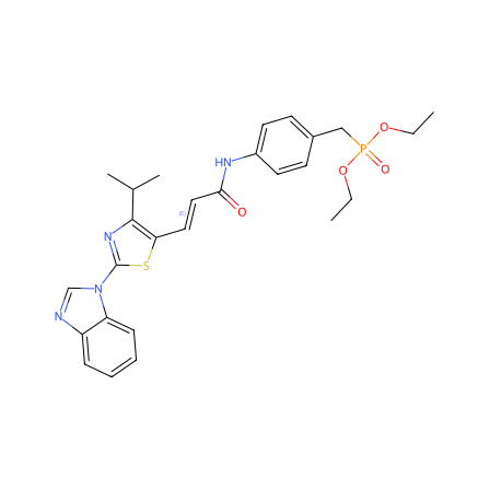 CCOP(=O)(Cc1ccc(NC(=O)/C=C/c2sc(-n3cnc4ccccc43)nc2C(C)C)cc1)OCC